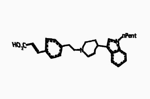 CCCCCn1cc(C2CCN(CCc3ccc(/C=C/C(=O)O)cc3)CC2)c2ccccc21